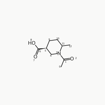 CC(=O)N1C[C@@H](C(=O)O)CCC1C